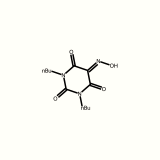 CCCCN1C(=O)C(=NO)C(=O)N(CCCC)C1=O